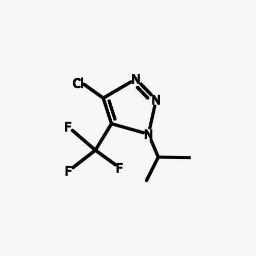 CC(C)n1nnc(Cl)c1C(F)(F)F